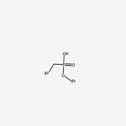 CC(C)CP(=O)(O)OC(C)C